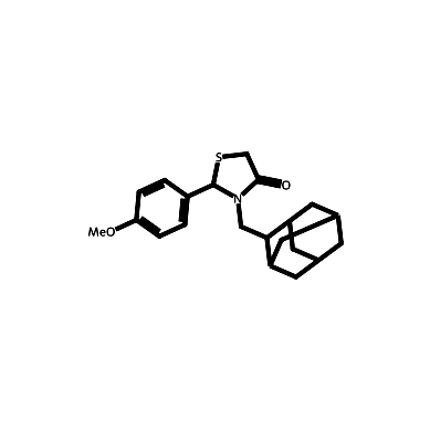 COc1ccc(C2SCC(=O)N2CC2C3CC4CC(C3)CC2C4)cc1